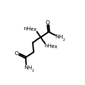 CCCCCCC(CCCCCC)(CCC(N)=O)C(N)=O